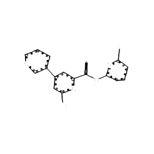 Cc1cccc(NC(=O)c2cc(-c3cccnc3)cc(C)n2)n1